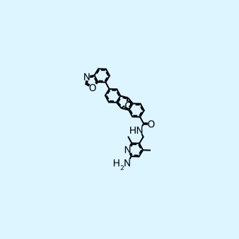 Cc1cc(N)nc(C)c1CNC(=O)c1ccc2c(c1)c1oc2c2cc(-c3cccc4ncoc34)ccc21